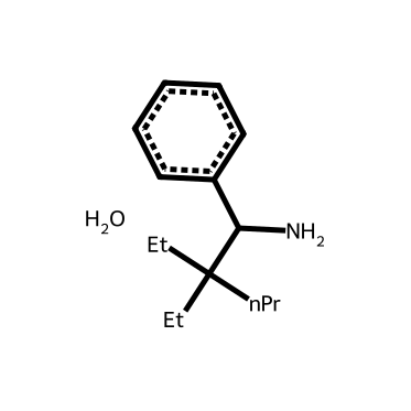 CCCC(CC)(CC)C(N)c1ccccc1.O